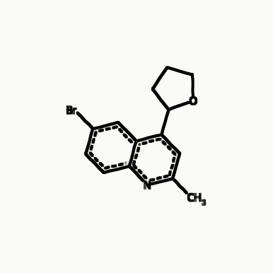 Cc1cc(C2CCCO2)c2cc(Br)ccc2n1